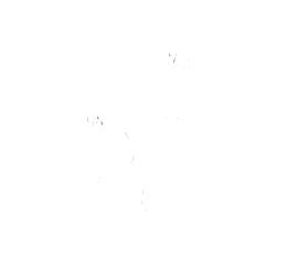 N=c1c2ccccc2ccc2ccncc12